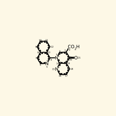 O=C(O)c1cn(-c2nccc3ccccc23)c2ncccc2c1=O